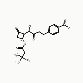 CC(C)(C)CC(=S)S[C@@H]1CC(=O)N1C(Cl)C(=O)OCc1ccc([N+](=O)[O-])cc1